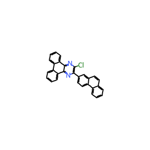 Clc1nc2c3ccccc3c3ccccc3c2nc1-c1ccc2c(ccc3ccccc32)c1